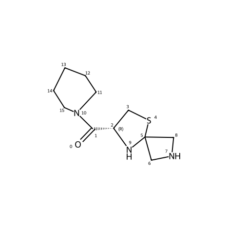 O=C([C@@H]1CSC2(CNC2)N1)N1CCCCC1